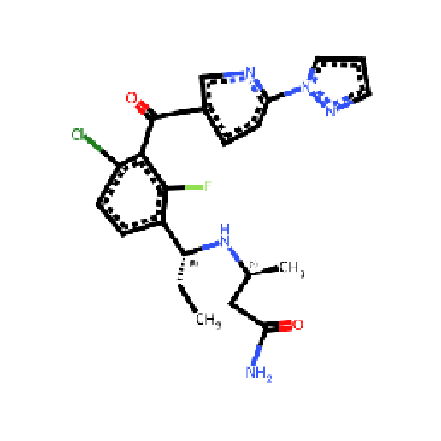 CC[C@@H](N[C@@H](C)CC(N)=O)c1ccc(Cl)c(C(=O)c2ccc(-n3cccn3)nc2)c1F